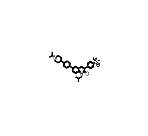 CC(C)Cn1c(=O)c(-c2ccc(S(C)(=O)=O)cc2)cc2cc(-c3ccc(C4CCN(C(C)C)CC4)cc3)ccc21